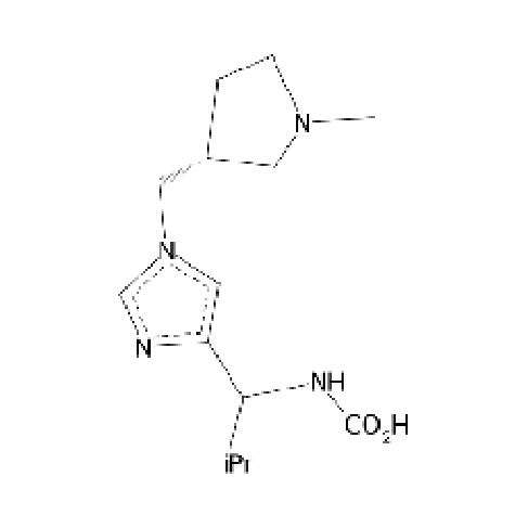 CC(C)C(NC(=O)O)c1cn(C[C@@H]2CCN(C)C2)cn1